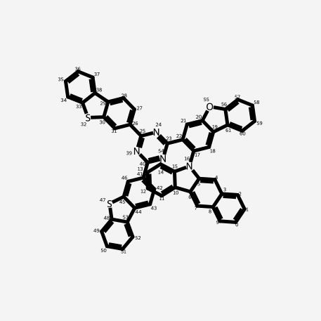 c1ccc2cc3c(cc2c1)c1ccccc1n3-c1cc2c(cc1-c1nc(-c3ccc4c(c3)sc3ccccc34)nc(-c3ccc4c(c3)sc3ccccc34)n1)oc1ccccc12